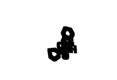 O=S(=O)(Nc1cc2c(s1)CCCC2)C1CCCCC1